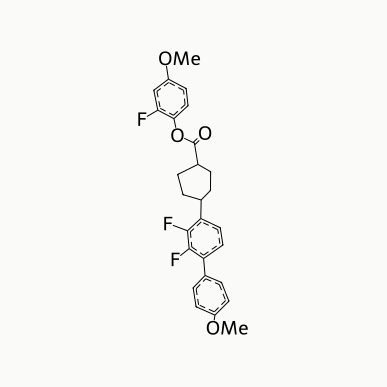 COc1ccc(-c2ccc(C3CCC(C(=O)Oc4ccc(OC)cc4F)CC3)c(F)c2F)cc1